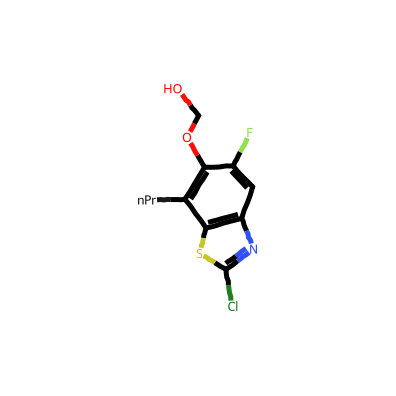 CCCc1c(OCO)c(F)cc2nc(Cl)sc12